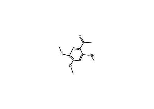 CNc1cc(OC)c(OC)cc1C(C)=O